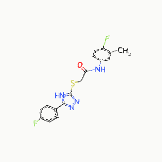 Cc1cc(NC(=O)CSc2nnc(-c3ccc(F)cc3)[nH]2)ccc1F